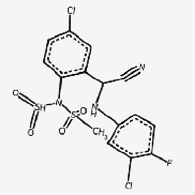 CS(=O)(=O)N(c1ccc(Cl)cc1C(C#N)Nc1ccc(F)c(Cl)c1)[SH](=O)=O